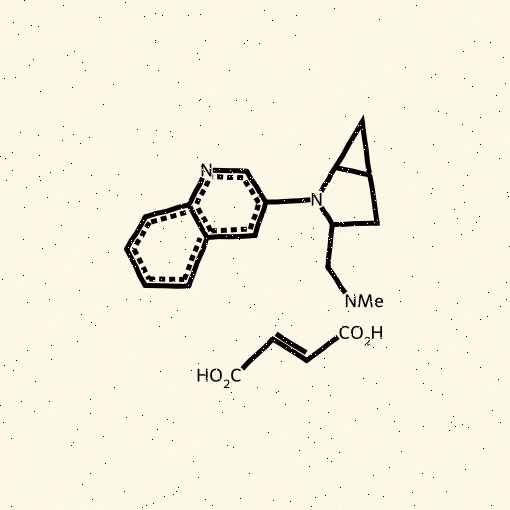 CNCC1CC2CC2N1c1cnc2ccccc2c1.O=C(O)/C=C/C(=O)O